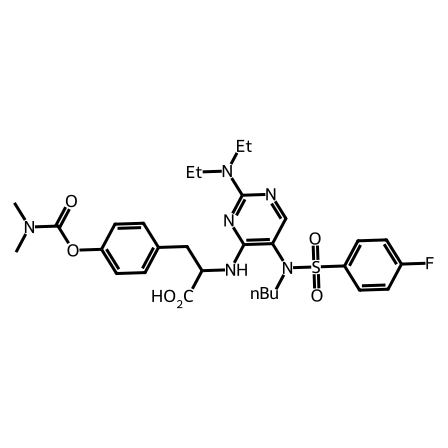 CCCCN(c1cnc(N(CC)CC)nc1NC(Cc1ccc(OC(=O)N(C)C)cc1)C(=O)O)S(=O)(=O)c1ccc(F)cc1